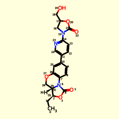 CC[C@@H]1OC(=O)N2c3ccc(-c4ccc(N5CC(CO)OC5=O)nc4)cc3OC[C@@H]12